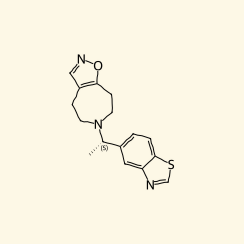 C[C@@H](c1ccc2scnc2c1)N1CCc2cnoc2CC1